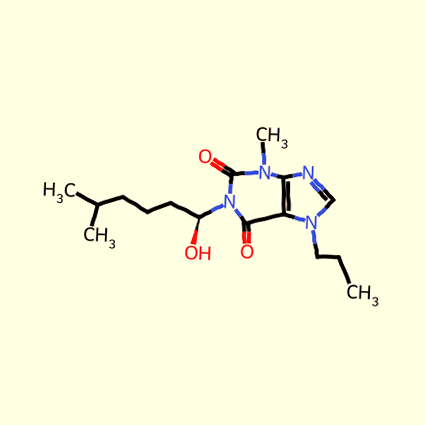 CCCn1cnc2c1c(=O)n([C@@H](O)CCCC(C)C)c(=O)n2C